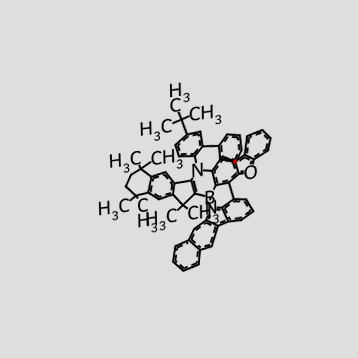 CC(C)(C)c1ccc(N2C3=C(B4c5c2cc2c(oc6ccccc62)c5-c2cccc5c6cc7ccccc7cc6n4c25)C(C)(C)c2cc4c(cc23)C(C)(C)CCC4(C)C)c(-c2ccccc2)c1